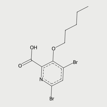 CCCCCOc1c(Br)cc(Br)nc1C(=O)O